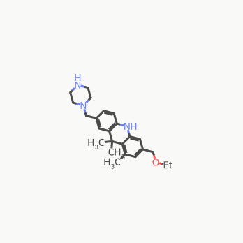 CCOCc1cc(C)c2c(c1)Nc1ccc(CN3CCNCC3)cc1C2(C)C